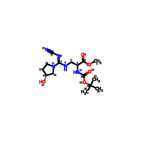 COC(=O)[C@H](CN/C(=N/C#N)N1CC[C@@H](O)C1)NC(=O)OC(C)(C)C